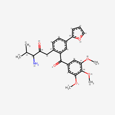 COc1cc(C(=O)c2cc(-c3ccco3)ccc2CC(=O)C(N)C(C)C)cc(OC)c1OC